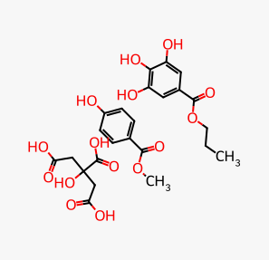 CCCOC(=O)c1cc(O)c(O)c(O)c1.COC(=O)c1ccc(O)cc1.O=C(O)CC(O)(CC(=O)O)C(=O)O